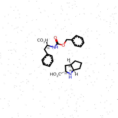 O=C(N[C@@H](Cc1ccccc1)C(=O)O)OCc1ccccc1.O=C(O)[C@@H]1C[C@H]2CCC[C@H]2N1